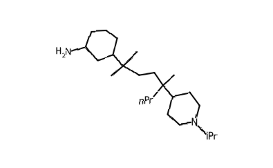 CCCC(C)(CCC(C)(C)C1CCCC(N)C1)C1CCN(C(C)C)CC1